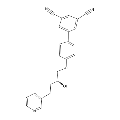 N#Cc1cc(C#N)cc(-c2ccc(OC[C@@H](O)CCc3cccnc3)cc2)c1